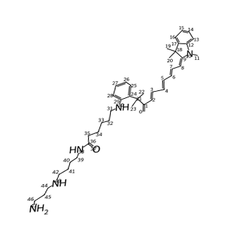 C=C(/C=C/C=C/C=C/C=C1/N(C)c2ccccc2C1(C)C)C(C)(C)c1ccccc1NCCCCCC(=O)NCCCCNCCCN